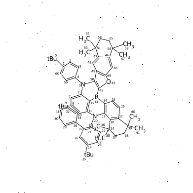 CC(C)(C)c1ccc(N2c3cc(C(C)(C)C)cc4c3B(c3ccc5c(c3N4c3ccc(C(C)(C)C)cc3-c3ccccc3)C(C)(C)CCC5(C)C)c3oc4cc5c(cc4c32)C(C)(C)CCC5(C)C)cc1